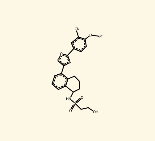 CC(C)Oc1ccc(-c2nc(-c3cccc4c3CCCC4NS(=O)(=O)CCO)no2)cc1C#N